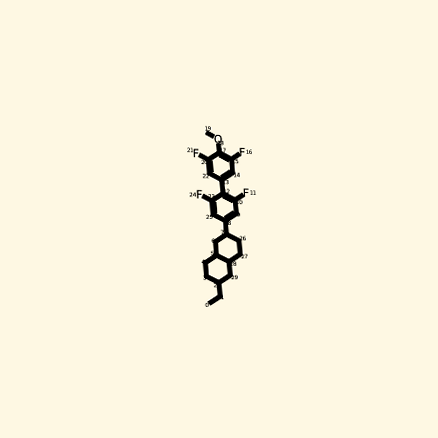 CCC1CCC2CC(c3cc(F)c(-c4cc(F)c(OC)c(F)c4)c(F)c3)CCC2C1